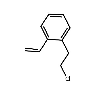 C=Cc1ccccc1CCCl